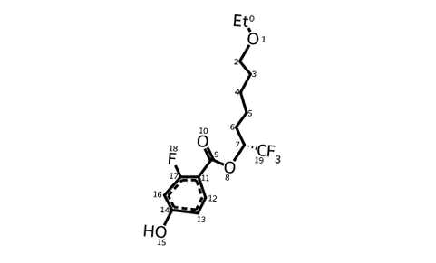 CCOCCCCC[C@@H](OC(=O)c1ccc(O)cc1F)C(F)(F)F